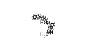 Cc1cnc(-c2cc3cccc(OCC(O)CN4CCC(c5ccc6ccccc6c5)CC4)c3o2)o1